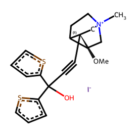 CO[C@]1(C#CC(O)(c2cccs2)c2cccs2)C[N+]2(C)CCC1CC2.[I-]